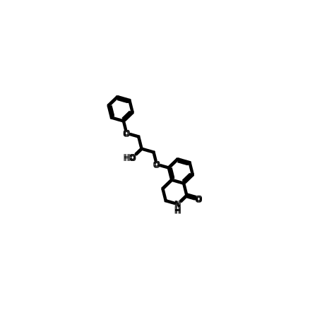 O=C1NCCc2c(OCC(O)COc3ccccc3)cccc21